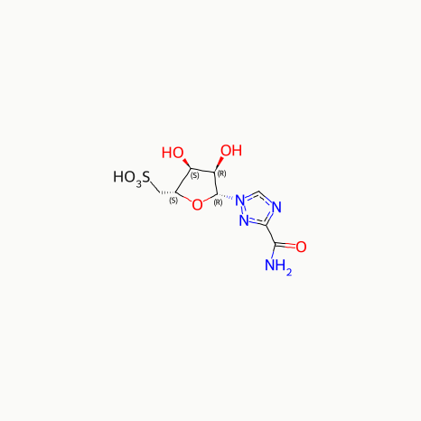 NC(=O)c1ncn([C@@H]2O[C@H](CS(=O)(=O)O)[C@@H](O)[C@H]2O)n1